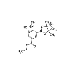 CCOC(=O)c1cncc(B2OC(C)(C)C(C)(C)O2)c1.OBO